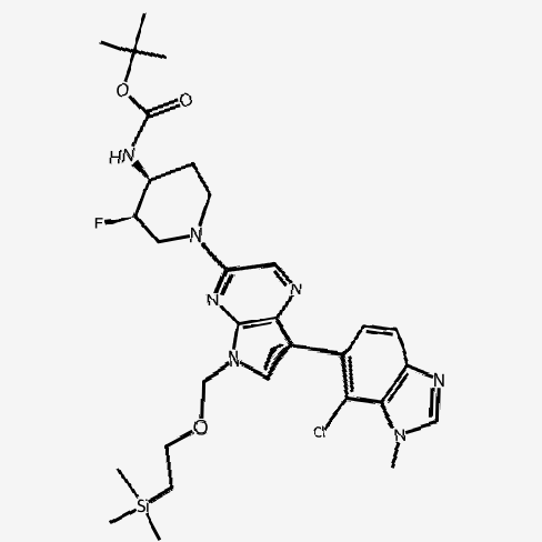 Cn1cnc2ccc(-c3cn(COCC[Si](C)(C)C)c4nc(N5CC[C@H](NC(=O)OC(C)(C)C)[C@H](F)C5)cnc34)c(Cl)c21